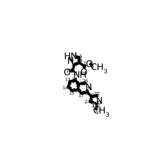 COC(=O)c1c[nH]nc1C(=O)Nc1cccc2cc(-c3cnn(C)c3)ncc12